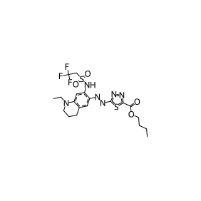 CCCCOC(=O)c1nnc(N=Nc2cc3c(cc2NS(=O)(=O)CC(F)(F)F)N(CC)CCC3)s1